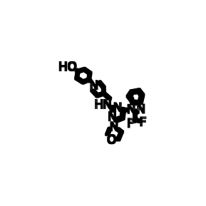 OC1CCC(N2CCC(CNc3nc(N4CCOCC4)cc(-n4c(C(F)F)nc5ccccc54)n3)CC2)CC1